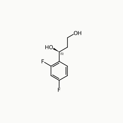 OCC[C@H](O)c1ccc(F)cc1F